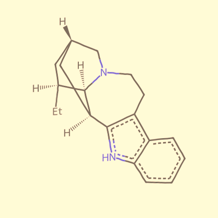 CC[C@H]1C[C@H]2C[C@@H]3c4[nH]c5ccccc5c4CCN(C2)[C@H]13